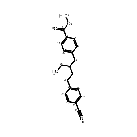 COC(=O)c1ccc(CC(CO)CCc2ccc(C#N)cc2)cc1